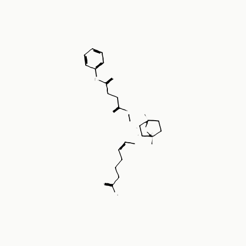 O=C(O)CCC/C=C\C[C@@H]1[C@H](CNC(=O)CCC(=S)Nc2ccccc2)[C@@H]2CC[C@H]1O2